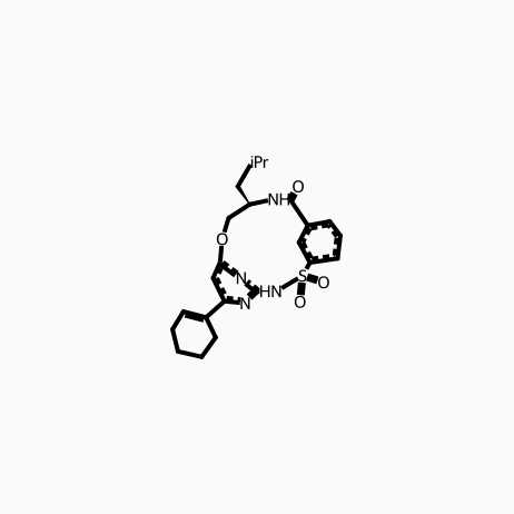 CC(C)C[C@@H]1COc2cc(C3=CCCCC3)nc(n2)NS(=O)(=O)c2cccc(c2)C(=O)N1